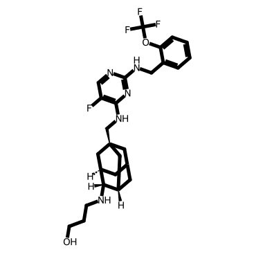 OCCCN[C@@H]1[C@@H]2CC3C[C@H]1C[C@@](CNc1nc(NCc4ccccc4OC(F)(F)F)ncc1F)(C3)C2